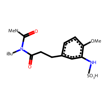 CCC(C)N(C(=O)CCc1ccc(OC)c(NS(=O)(=O)O)c1)C(=O)NC